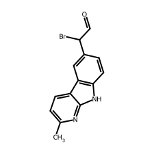 Cc1ccc2c(n1)[nH]c1ccc(C(Br)C=O)cc12